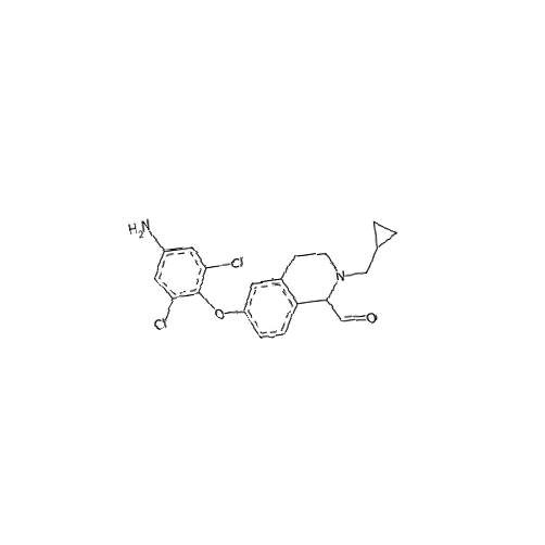 Nc1cc(Cl)c(Oc2ccc3c(c2)CCN(CC2CC2)C3C=O)c(Cl)c1